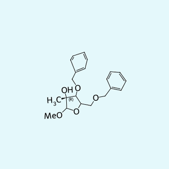 COC1OC(COCc2ccccc2)C(OCc2ccccc2)[C@@]1(C)O